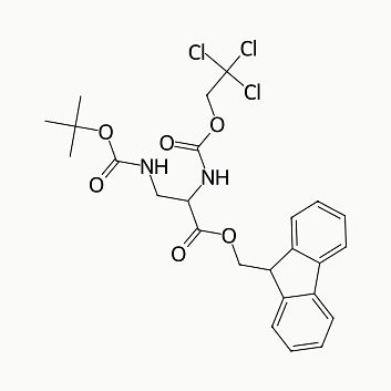 CC(C)(C)OC(=O)NCC(NC(=O)OCC(Cl)(Cl)Cl)C(=O)OCC1c2ccccc2-c2ccccc21